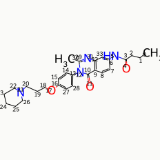 CCCC(=O)Nc1ccc2c(=O)n(-c3ccc(OCCCN4CCCCC4)cc3)c(C)nc2c1